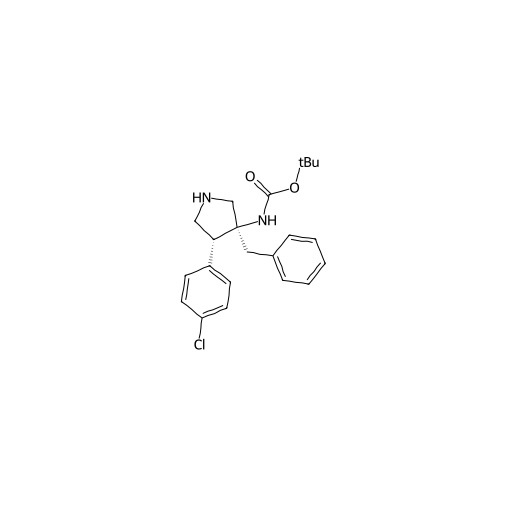 CC(C)(C)OC(=O)N[C@]1(Cc2ccccc2)CNC[C@H]1c1ccc(Cl)cc1